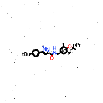 CCCC(C)(Oc1c(C)cc(CNC(=O)c2cc(-c3ccc(C(C)(C)C)cc3)n(C)n2)cc1C)C(=O)O